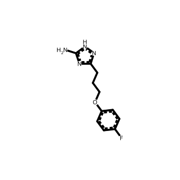 Nc1nc(CCCOc2ccc(F)cc2)n[nH]1